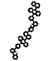 c1cc(-c2c3ccccc3c(-c3cccc4ccccc34)c3ccccc23)cc(-c2cccc3c2oc2cc(-c4cccc5c(-c6c7ccccc7c(-c7ccc(-c8cccc9c8oc8ccccc89)cc7)c7ccccc67)cccc45)ccc23)c1